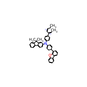 C/C=C(\C=C/CC)c1ccc(N(C2=CCC(c3cccc4c3oc3ccccc34)C=C2)c2ccc3c(c2)C(C)(C)c2ccccc2-3)cc1